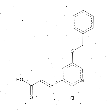 O=C(O)/C=C/c1cc(SCc2ccccc2)cnc1Cl